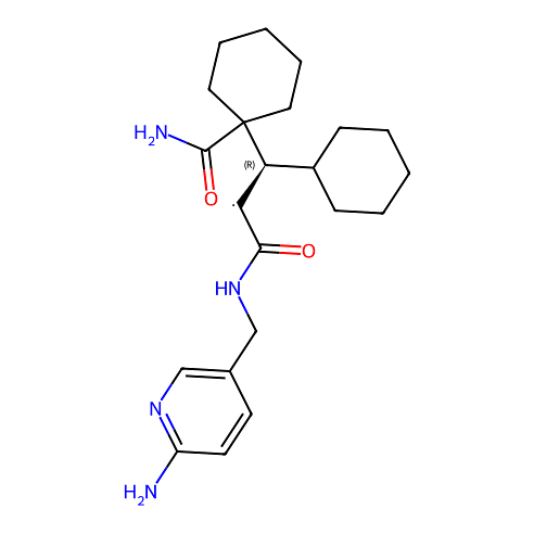 NC(=O)C1([C@H]([CH]C(=O)NCc2ccc(N)nc2)C2CCCCC2)CCCCC1